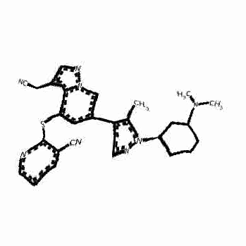 Cc1c(-c2cc(Sc3ncccc3C#N)c3c(C#N)cnn3c2)cnn1[C@@H]1CCCC(N(C)C)C1